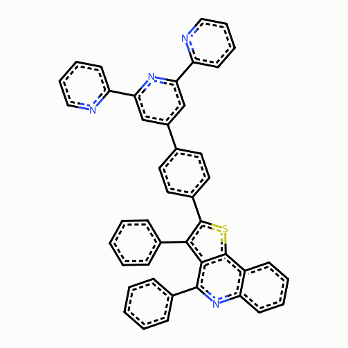 c1ccc(-c2nc3ccccc3c3sc(-c4ccc(-c5cc(-c6ccccn6)nc(-c6ccccn6)c5)cc4)c(-c4ccccc4)c23)cc1